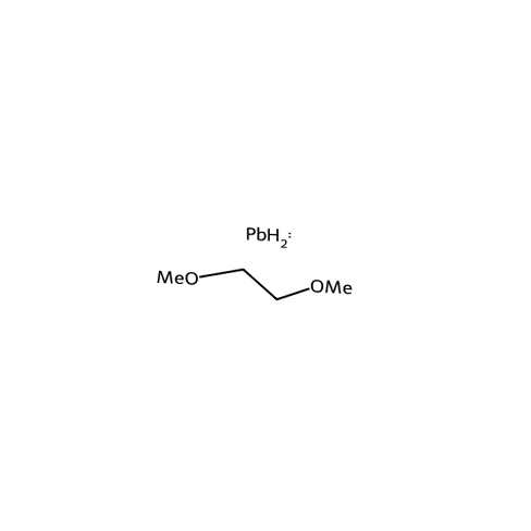 COCCOC.[PbH2]